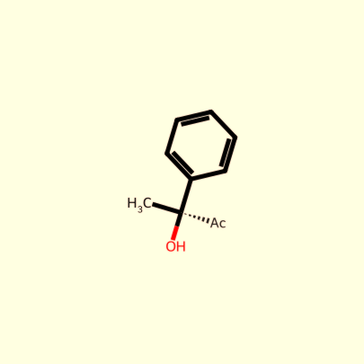 CC(=O)[C@@](C)(O)c1ccccc1